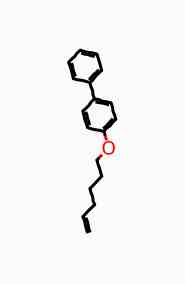 C=CCCCCOc1ccc(-c2ccccc2)cc1